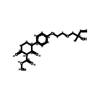 C=CC(C)(O)COCCOc1ccc(C2CCC(=O)N(C(=O)OC(C)(C)C)C2=O)cc1